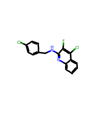 Fc1c(NCc2ccc(Cl)cc2)nc2ccccc2c1Cl